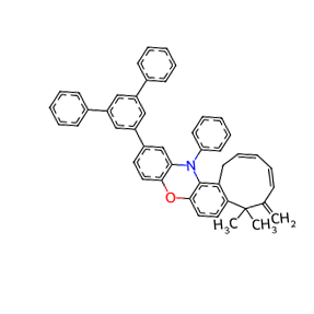 C=C1/C=C\C=C/Cc2c(ccc3c2N(c2ccccc2)c2cc(-c4cc(-c5ccccc5)cc(-c5ccccc5)c4)ccc2O3)C1(C)C